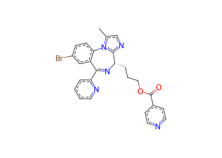 Cc1cnc2n1-c1ccc(Br)cc1C(c1ccccn1)=N[C@H]2CCCOC(=O)c1ccncc1